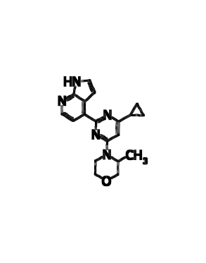 CC1COCCN1c1cc(C2CC2)nc(-c2ccnc3[nH]ccc23)n1